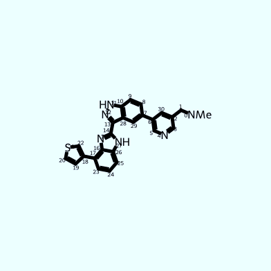 CNCc1cncc(-c2ccc3[nH]nc(-c4nc5c(-c6ccsc6)cccc5[nH]4)c3c2)c1